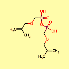 C=C(C)COCP(=O)(O)OP(=O)(O)COCC(=C)C